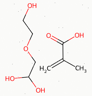 C=C(C)C(=O)O.OCCOCC(O)O